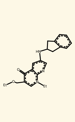 CCOCc1cn(CC)c2ncc(NC3Cc4ccccc4C3)cc2c1=O